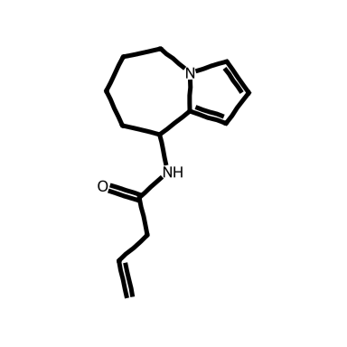 C=CCC(=O)NC1CCCCn2cccc21